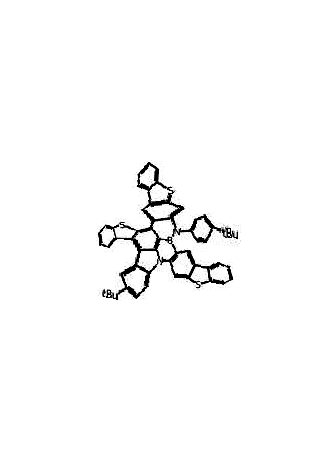 CC(C)(C)c1ccc(N2B3c4cc5c(cc4-n4c6ccc(C(C)(C)C)cc6c6c7c(sc8ccccc87)c(c3c64)-c3cc4c(cc32)sc2ccccc24)sc2ccccc25)cc1